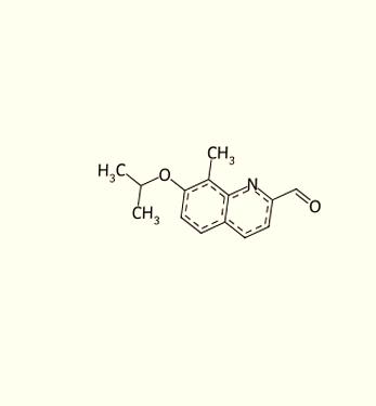 Cc1c(OC(C)C)ccc2ccc(C=O)nc12